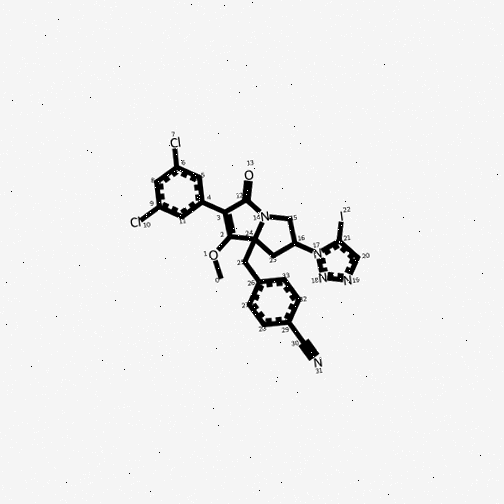 COC1=C(c2cc(Cl)cc(Cl)c2)C(=O)N2CC(n3nncc3I)CC12Cc1ccc(C#N)cc1